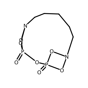 O=P12ON(CCCCCN3OP(=O)(O3)O1)O2